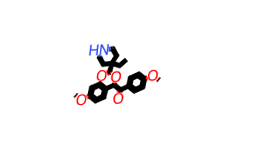 CCC1(C(=O)OC(C(=O)c2ccc(OC)cc2)c2ccc(OC)cc2)CCNCC1